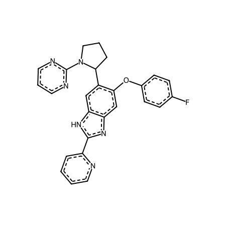 Fc1ccc(Oc2cc3nc(-c4ccccn4)[nH]c3cc2C2CCCN2c2ncccn2)cc1